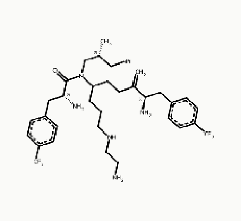 C=C(CCC(CCCNCCN)N(C[C@H](C)CC(C)C)C(=O)[C@H](N)Cc1ccc(C(F)(F)F)cc1)[C@H](N)Cc1ccc(C(F)(F)F)cc1